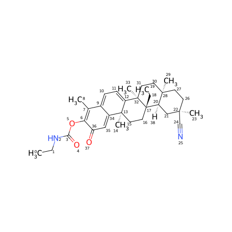 CCNC(=O)OC1=C(C)C2=CC=C3[C@@](C)(CC[C@@]4(CC)[C@@H]5C[C@](C)(C#N)CC[C@]5(C)CC[C@]34C)C2=CC1=O